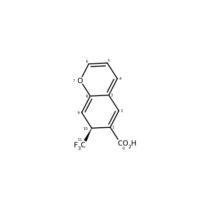 O=C(O)C1=CC2=CC=COC2=C[C@@H]1C(F)(F)F